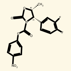 C[C@H]1OC(=O)N(C(=O)Oc2ccc([N+](=O)[O-])cc2)[C@H]1c1ccc(F)c(F)c1